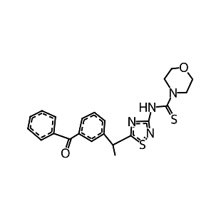 CC(c1cccc(C(=O)c2ccccc2)c1)c1nc(NC(=S)N2CCOCC2)ns1